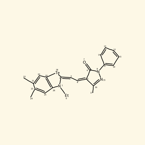 CCN1C(=CC=C2C(=O)N(c3ccccc3)N=C2C)[Te]c2cc(C)c(C)cc21